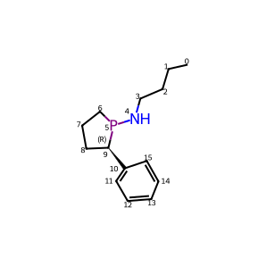 CCCCNP1CCC[C@@H]1c1ccccc1